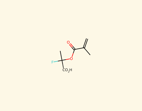 C=C(C)C(=O)OC(C)(F)C(=O)O